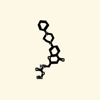 CC(C)(C)OC(=O)NCc1cc(=O)c2ccc(N3CCN(c4ccccc4)CC3)cc2o1